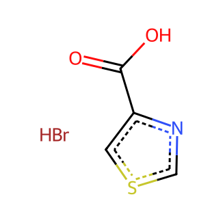 Br.O=C(O)c1cscn1